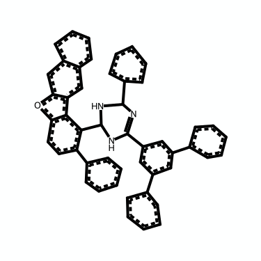 c1ccc(-c2cc(C3=NC(c4ccccc4)NC(c4c(-c5ccccc5)ccc5oc6cc7ccccc7cc6c45)N3)cc(-c3ccccc3)c2)cc1